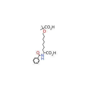 CC(C)(OCCCCCCCC(NC(=O)c1ccccc1)C(=O)O)C(=O)O